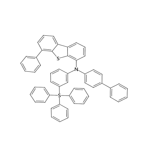 c1ccc(-c2ccc(N(c3cccc(S(c4ccccc4)(c4ccccc4)c4ccccc4)c3)c3cccc4c3sc3c(-c5ccccc5)cccc34)cc2)cc1